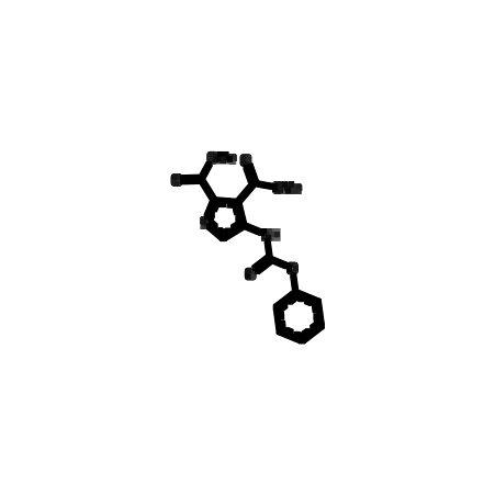 COC(=O)c1scc(NC(=O)Oc2ccccc2)c1C(=O)OC